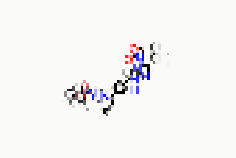 CC(Nc1nccc(N2C(=O)OC[C@@H]2C(C)C)n1)c1ccc(C(CC2CC2)N2CCN(C(=O)OC(C)(C)C)CC2)cc1